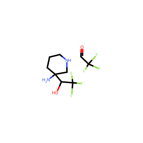 NC1(C(O)C(F)(F)F)CCCNC1.O=CC(F)(F)F